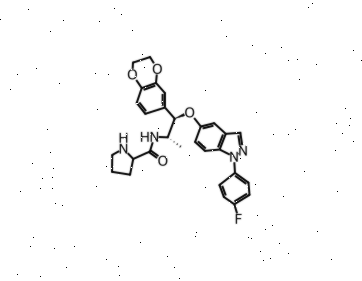 C[C@H](NC(=O)C1CCCN1)[C@H](Oc1ccc2c(cnn2-c2ccc(F)cc2)c1)c1ccc2c(c1)OCCO2